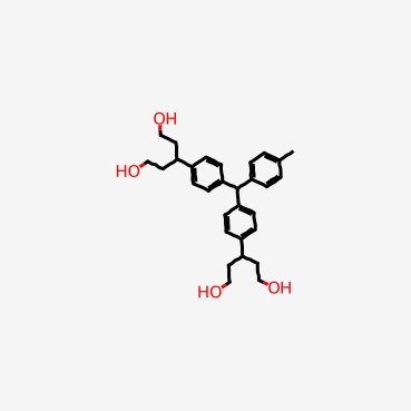 Cc1ccc(C(c2ccc(C(CCO)CCO)cc2)c2ccc(C(CCO)CCO)cc2)cc1